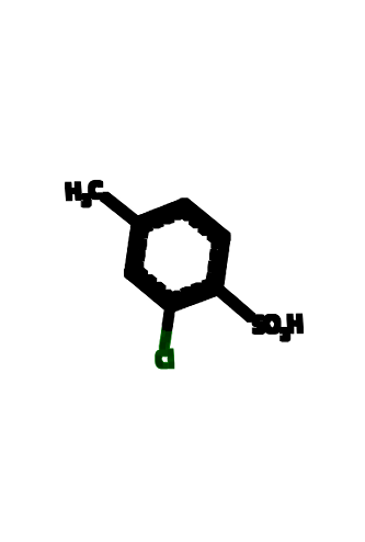 Cc1ccc(S(=O)(=O)O)c(Cl)c1